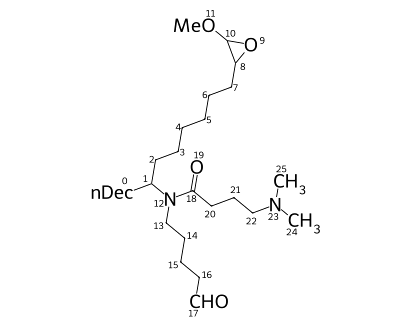 CCCCCCCCCCC(CCCCCCC1OC1OC)N(CCCCC=O)C(=O)CCCN(C)C